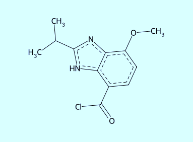 COc1ccc(C(=O)Cl)c2[nH]c(C(C)C)nc12